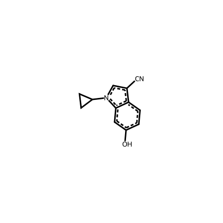 N#Cc1cn(C2CC2)c2cc(O)ccc12